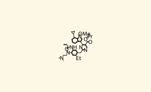 C=CC(=O)Nc1cc(Cc2ncc(C(=O)OC(C)C)c(-c3cn(OC)c4c(C5CC5)cccc34)n2)c(CC)cc1N(C)CCN(C)C